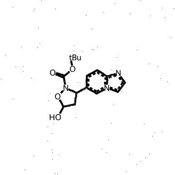 CC(C)(C)OC(=O)N1OC(O)CC1c1ccc2nccn2c1